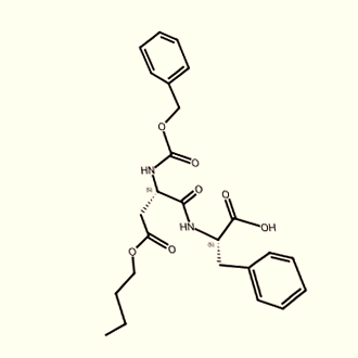 CCCCOC(=O)C[C@H](NC(=O)OCc1ccccc1)C(=O)N[C@@H](Cc1ccccc1)C(=O)O